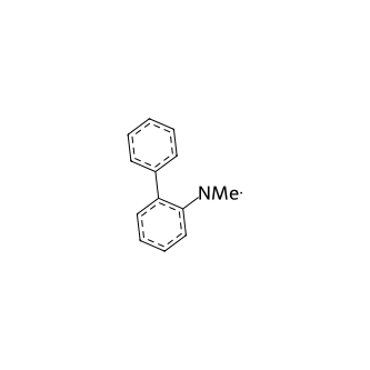 C[N]c1ccccc1-c1ccccc1